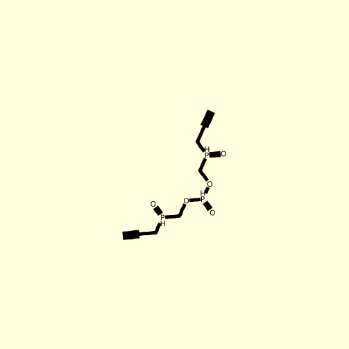 C#CC[PH](=O)CO[PH](=O)OC[PH](=O)CC#C